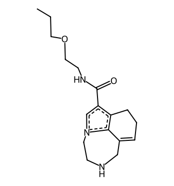 CCCOCCNC(=O)c1cn2c3c1CCC=C3CNCC2